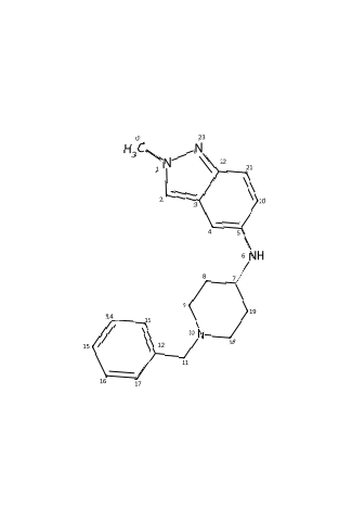 Cn1cc2cc(NC3CCN(Cc4ccccc4)CC3)ccc2n1